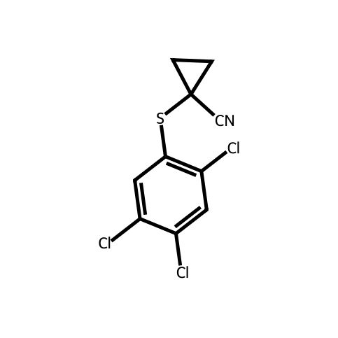 N#CC1(Sc2cc(Cl)c(Cl)cc2Cl)CC1